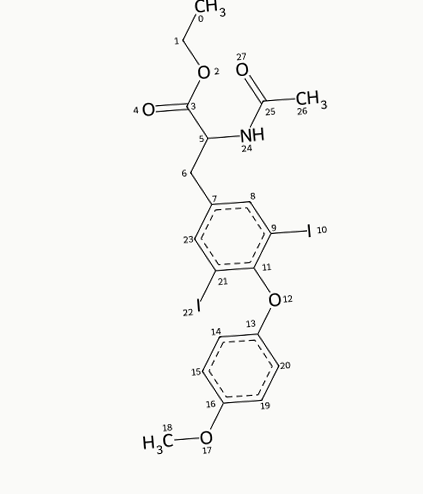 CCOC(=O)C(Cc1cc(I)c(Oc2ccc(OC)cc2)c(I)c1)NC(C)=O